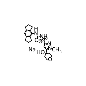 Cn1nc(S(=O)(=O)NC(=O)Nc2c3c(cc4c2CCC4)CCC3)cc1C1(O)CCOCC1.[Na]